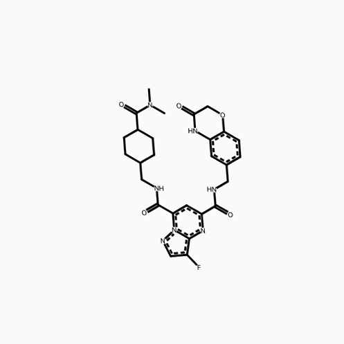 CN(C)C(=O)C1CCC(CNC(=O)c2cc(C(=O)NCc3ccc4c(c3)NC(=O)CO4)nc3c(F)cnn23)CC1